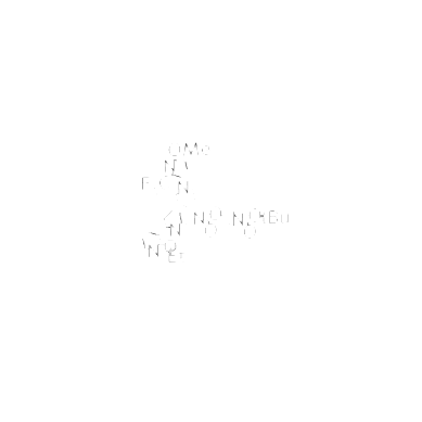 CCOc1ncccc1-c1ccc2c(n1)CN(C(=O)OC1CN(C(=O)OC(C)(C)C)C1)CC21CCN(c2ccc(OC)nc2C(F)(F)F)CC1